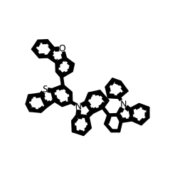 C1=C(c2cccc3c2c2ccccc2n3-c2cc(-c3ccc4oc5ccccc5c4c3)c3sc4ccccc4c3c2)c2c(c3ccccc3n2-c2ccccc2)CC1